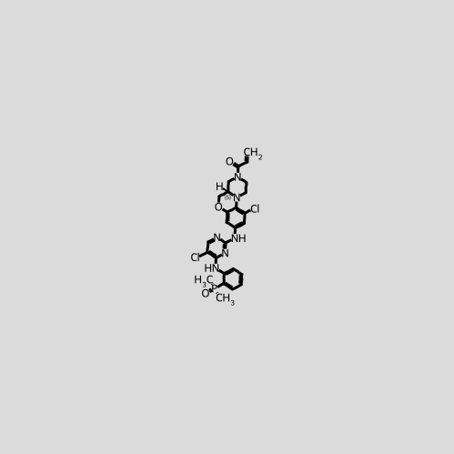 C=CC(=O)N1CCN2c3c(Cl)cc(Nc4ncc(Cl)c(Nc5ccccc5P(C)(C)=O)n4)cc3OC[C@@H]2C1